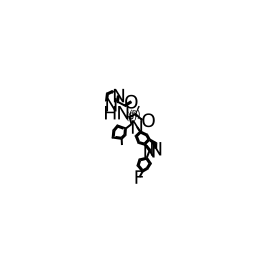 Cc1cccc(C2[C@@H](NC(=O)c3ncccn3)[C@@H](C)C(=O)N2c2ccc3c(cnn3-c3ccc(F)cc3)c2)c1